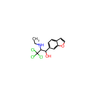 CCNC(C(O)c1ccc2ccoc2c1)C(Cl)(Cl)Cl